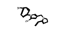 C=CC1CCCN1Cc1cc(Br)n(-c2ccc(Br)cc2)c1